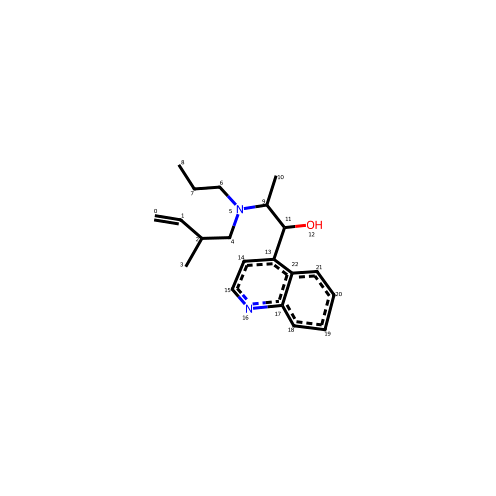 C=CC(C)CN(CCC)C(C)C(O)c1ccnc2ccccc12